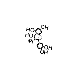 CC(C)C1=C(c2ccc(O)c(O)c2)Oc2cc(O)cc(O)c2C1O